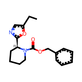 CCc1cnc([C@@H]2CCCCN2C(=O)OCc2ccccc2)o1